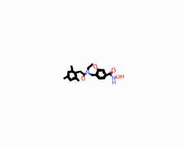 Cc1cc(C)c(CC(=O)N2CCOc3cc(C(=O)NO)ccc3C2)c(C)c1